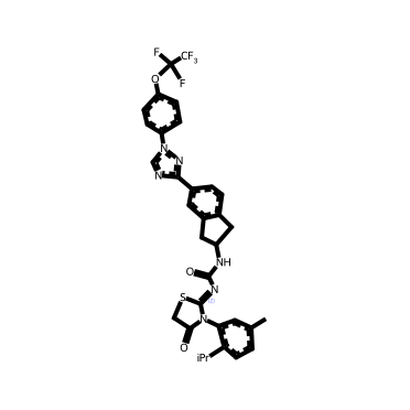 Cc1ccc(C(C)C)c(N2C(=O)CS/C2=N\C(=O)NC2Cc3ccc(-c4ncn(-c5ccc(OC(F)(F)C(F)(F)F)cc5)n4)cc3C2)c1